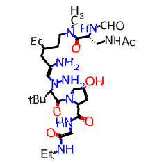 CCNC(=O)CNC(=O)C1C[C@@H](O)CN1C(=O)C(N(N)/C=C(\N)CC(CC)CCN(C)C(=O)[C@@H](CNC(C)=O)NC=O)C(C)(C)C